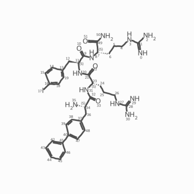 N=C(N)NCCC[C@H](NC(=O)[C@H](Cc1ccc(I)cc1)NC(=O)[C@H](CCCNC(=N)N)NC(=O)[C@@H](N)Cc1ccc(-c2ccccc2)cc1)C(N)=O